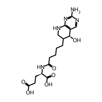 Nc1ncc2c(n1)NCC(CCCCC(=O)N[C@H](CCC(=O)O)C(=O)O)[C@@H]2O